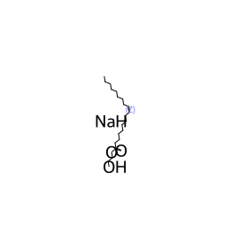 CCCCCCCC/C=C\CCCCCCCC(=O)OCCO.[NaH]